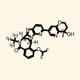 [2H]C([2H])([2H])N1C(=O)c2cccc(OC(F)F)c2[C@H]2C[C@@H]1c1nc3ccc(-c4cnc5c(c4)OCC[C@]5(C)O)nc3n12